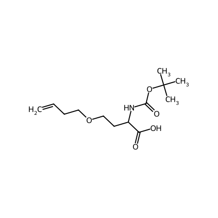 C=CCCOCCC(NC(=O)OC(C)(C)C)C(=O)O